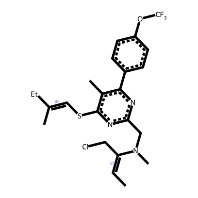 C/C=C(/CCl)N(C)Cc1nc(S/C=C(\C)CC)c(C)c(-c2ccc(OC(F)(F)F)cc2)n1